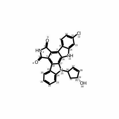 O=C1NC(=O)c2c1c1c3ccc(Cl)cc3[nH]c1c1c2c2ccccc2n1C1C=C[C@H](O)C1